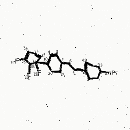 CCCC1CCC(CCC2CCC(C3(F)C=CC=C(F)C3F)CC2)CC1